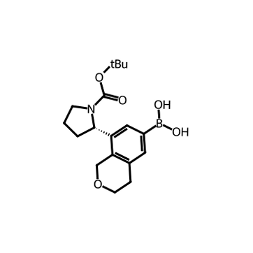 CC(C)(C)OC(=O)N1CCC[C@H]1c1cc(B(O)O)cc2c1COCC2